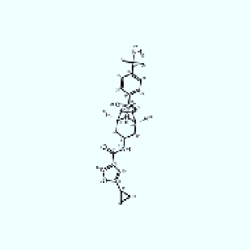 C=C1C[C@@H]2C[C@H](NC(=O)c3cc(C4CC4)on3)C[C@H]1N2S(=O)(=O)c1ccc(C(C)(C)N)cc1